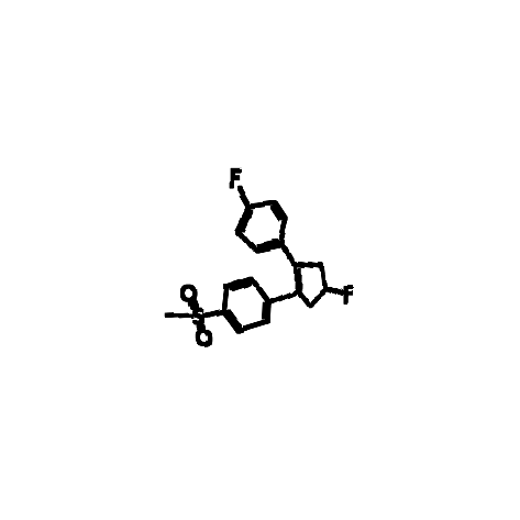 CS(=O)(=O)c1ccc(C2=C(c3ccc(F)cc3)CC(F)C2)cc1